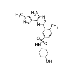 Cc1ccc(S(=O)(=O)N[C@H]2CC[C@H](O)CC2)cc1-c1cnc(N)c(-c2cnn(C)c2)n1